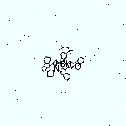 CC1(C)CCC(C)(C)c2cc(Nc3cc4c(cc3-c3c5c(cc6ccccc36)N3c6ccccc6C6(c7ccccc7-c7ccccc76)c6cccc(c63)B5)oc3ccccc34)ccc21